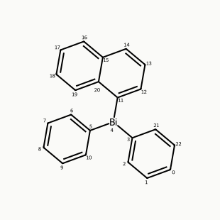 c1cc[c]([Bi]([c]2ccccc2)[c]2cccc3ccccc23)cc1